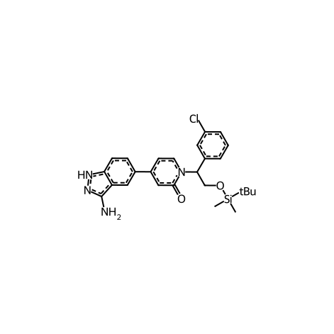 CC(C)(C)[Si](C)(C)OCC(c1cccc(Cl)c1)n1ccc(-c2ccc3[nH]nc(N)c3c2)cc1=O